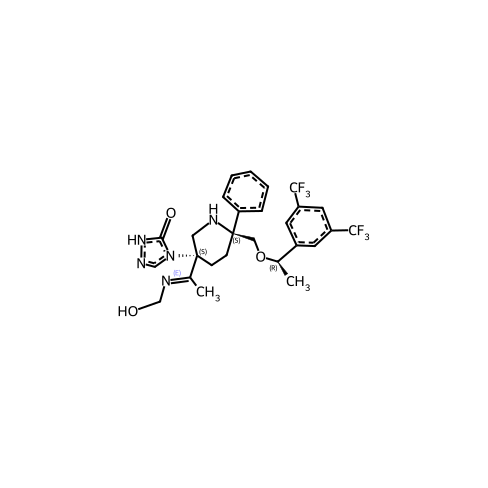 C/C(=N\CO)[C@]1(n2cn[nH]c2=O)CC[C@@](CO[C@H](C)c2cc(C(F)(F)F)cc(C(F)(F)F)c2)(c2ccccc2)NC1